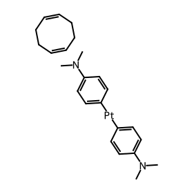 C1=CCCC=CCC1.CN(C)c1cc[c]([Pt][c]2ccc(N(C)C)cc2)cc1